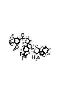 COc1cc(C(=O)N2CCC(CCN3CCC(C(N)=O)(c4ccccc4)CC3)(c3ccc(C(F)(F)F)cc3)C2)cc(OC)c1OC